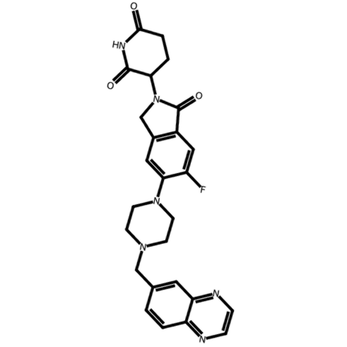 O=C1CCC(N2Cc3cc(N4CCN(Cc5ccc6nccnc6c5)CC4)c(F)cc3C2=O)C(=O)N1